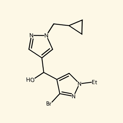 CCn1cc(C(O)c2cnn(CC3CC3)c2)c(Br)n1